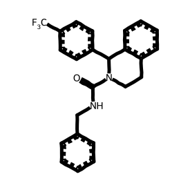 O=C(NCc1ccccc1)N1CCc2ccccc2C1c1ccc(C(F)(F)F)cc1